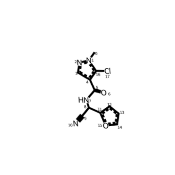 Cn1ncc(C(=O)NC(C#N)c2ccco2)c1Cl